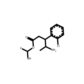 CCCC(F)OC(=O)CC(c1ccccc1Cl)C(C)N